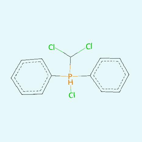 ClC(Cl)[PH](Cl)(c1ccccc1)c1ccccc1